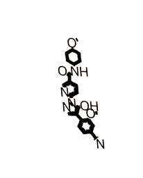 COc1cc(C#N)ccc1-c1cnn(-c2ccc(C(=O)N[C@H]3CC[C@H](OC)CC3)cn2)c1O